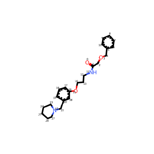 O=C(COCc1ccccc1)NCCCOc1cccc(CN2CCCCC2)c1